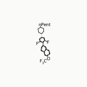 CCCCC[C@H]1CC[C@H](c2cc(F)c(-c3ccc4cc(OC(F)(F)F)ccc4c3)c(F)c2)CC1